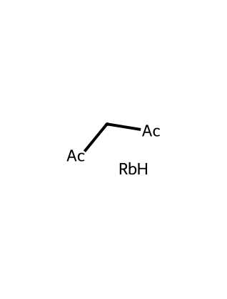 CC(=O)CC(C)=O.[RbH]